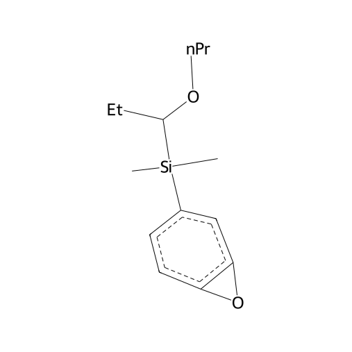 CCCOC(CC)[Si](C)(C)c1ccc2c(c1)O2